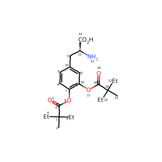 CCC(C)(CC)C(=O)Oc1ccc(C[C@H](N)C(=O)O)cc1OC(=O)C(C)(CC)CC